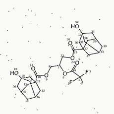 CC(F)(F)C(=O)OC(COC(=O)C12CC3CC(CC(O)(C3)C1)C2)COC(=O)C12CC3CC(CC(O)(C3)C1)C2